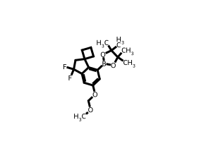 COCOc1cc(B2OC(C)(C)C(C)(C)O2)c2c(c1)C(F)(F)CC21CCC1